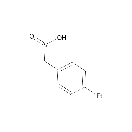 CCc1ccc(CS(=O)O)cc1